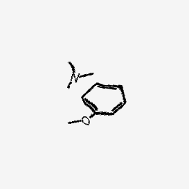 CN(C)C.COc1ccccc1